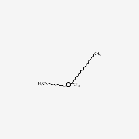 CCCCCCCCCCCCCCCCCCN(C)c1ccc(CCCCCCCCCCC)cc1